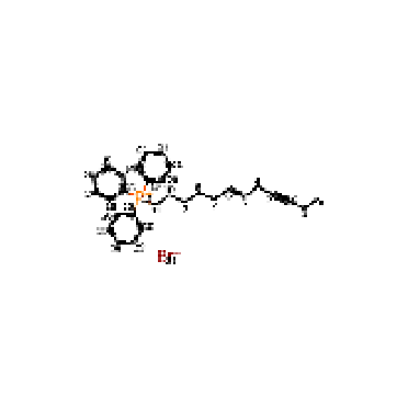 CCC#CCC=CCCCCC[P+](c1ccccc1)(c1ccccc1)c1ccccc1.[Br-]